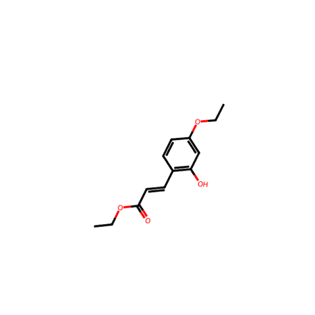 CCOC(=O)/C=C/c1ccc(OCC)cc1O